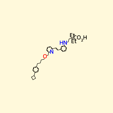 CCC(CC)(CCNc1cccc(C=Cc2cccc(COCCCCc3ccc(C4CCC4)cc3)n2)c1)C(=O)O